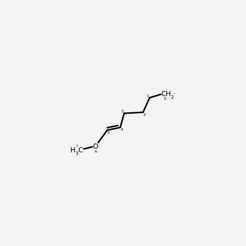 [CH2]CCC/C=C/OC